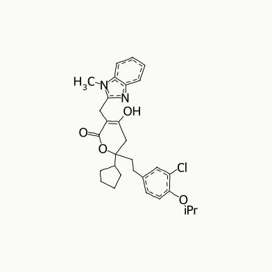 CC(C)Oc1ccc(CCC2(C3CCCC3)CC(O)=C(Cc3nc4ccccc4n3C)C(=O)O2)cc1Cl